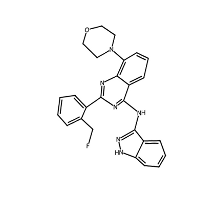 FCc1ccccc1-c1nc(Nc2n[nH]c3ccccc23)c2cccc(N3CCOCC3)c2n1